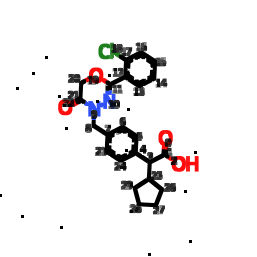 O=C(O)C(c1ccc(CN2N=C(c3ccccc3Cl)OCC2=O)cc1)C1CCCC1